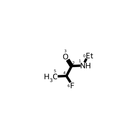 CCNC(=O)C(C)F